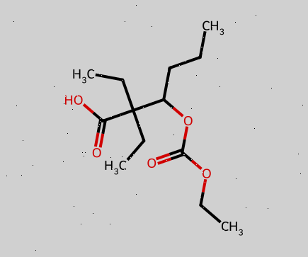 CCCC(OC(=O)OCC)C(CC)(CC)C(=O)O